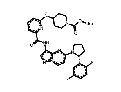 CC(C)(C)OC(=O)N1CCC(Nc2cccc(C(=O)Nc3cnn4ccc(N5CCC[C@@H]5c5cc(F)ccc5F)nc34)n2)CC1